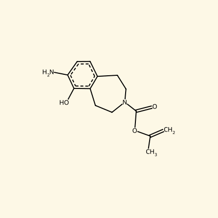 C=C(C)OC(=O)N1CCc2ccc(N)c(O)c2CC1